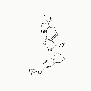 COc1ccc2c(c1)CCCC2NC(=O)c1ccc(C(F)(F)F)[nH]c1=O